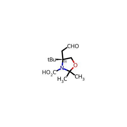 CC1(C)OC[C@](CC=O)(C(C)(C)C)N1C(=O)O